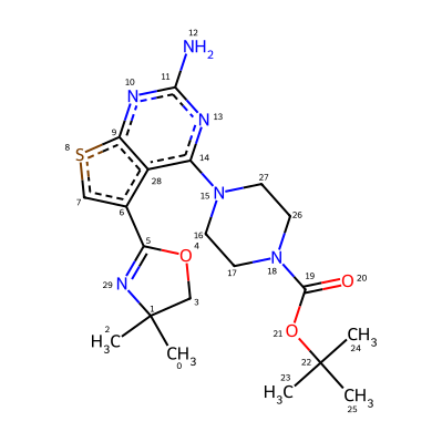 CC1(C)COC(c2csc3nc(N)nc(N4CCN(C(=O)OC(C)(C)C)CC4)c23)=N1